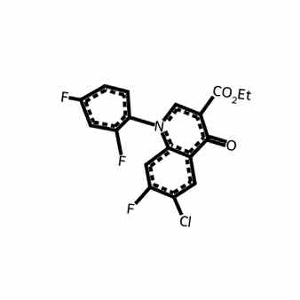 CCOC(=O)c1cn(-c2ccc(F)cc2F)c2cc(F)c(Cl)cc2c1=O